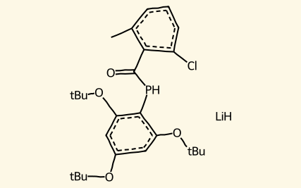 Cc1cccc(Cl)c1C(=O)Pc1c(OC(C)(C)C)cc(OC(C)(C)C)cc1OC(C)(C)C.[LiH]